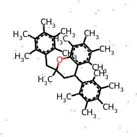 Cc1c(C)c(C)c(CC2(C)CC(c3c(C)c(C)c(C)c(C)c3C)c3c(C)c(C)c(C)c(C)c3O2)c(C)c1C